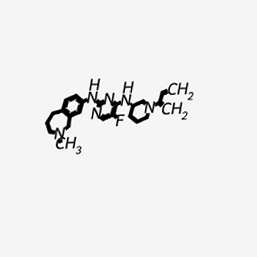 C=CC(=C)N1CCC[C@@H](Nc2nc(Nc3ccc4c(c3)CN(C)CCC4)ncc2F)C1